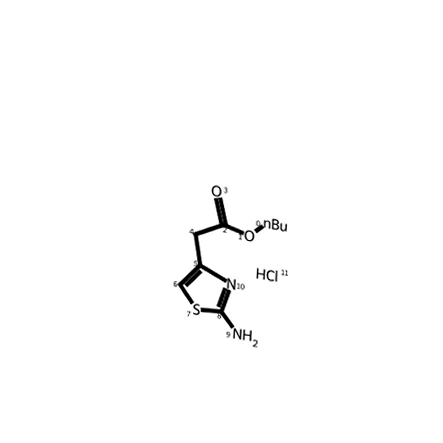 CCCCOC(=O)Cc1csc(N)n1.Cl